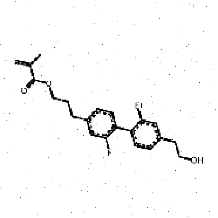 C=C(C)C(=O)OCCCc1ccc(-c2ccc(CCO)cc2CC)c(F)c1